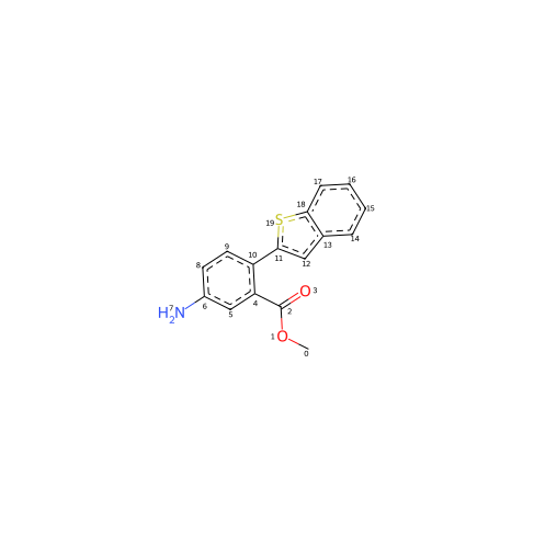 COC(=O)c1cc(N)ccc1-c1cc2ccccc2s1